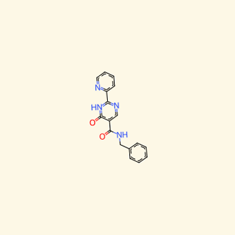 O=C(NCc1ccccc1)c1cnc(-c2ccccn2)[nH]c1=O